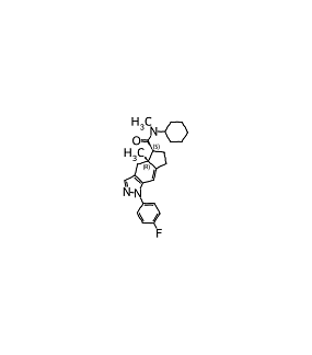 CN(C(=O)[C@H]1CCC2=Cc3c(cnn3-c3ccc(F)cc3)C[C@@]21C)C1CCCCC1